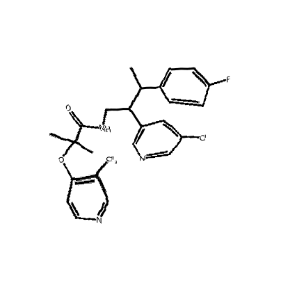 CC(c1ccc(F)cc1)C(CNC(=O)C(C)(C)Oc1ccncc1C(F)(F)F)c1cncc(Cl)c1